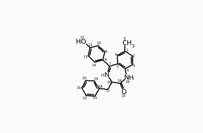 Cc1ccc2c(c1)C(c1ccc(O)cc1)=NC(Cc1ccccc1)C(=O)N2